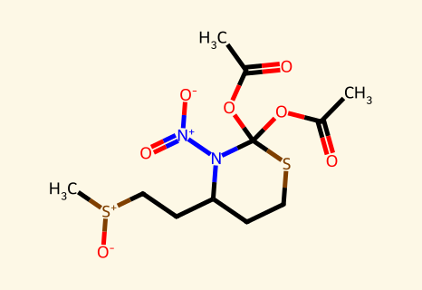 CC(=O)OC1(OC(C)=O)SCCC(CC[S+](C)[O-])N1[N+](=O)[O-]